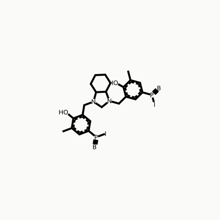 B#P(I)c1cc(C)c(O)c(CN2CN(Cc3cc(P(#B)I)cc(C)c3O)C3CCCCC32)c1